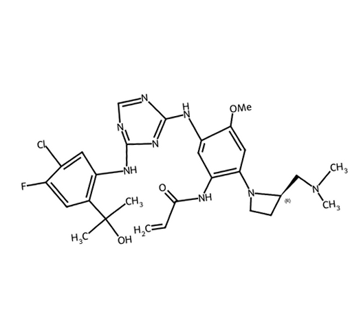 C=CC(=O)Nc1cc(Nc2ncnc(Nc3cc(Cl)c(F)cc3C(C)(C)O)n2)c(OC)cc1N1CC[C@@H]1CN(C)C